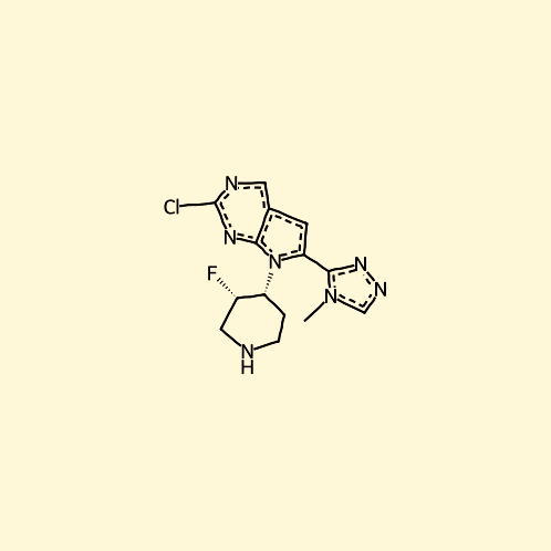 Cn1cnnc1-c1cc2cnc(Cl)nc2n1[C@@H]1CCNC[C@@H]1F